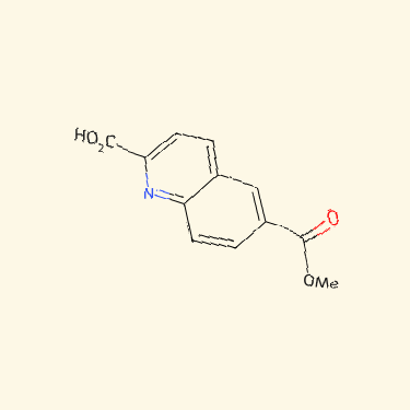 COC(=O)c1ccc2nc(C(=O)O)ccc2c1